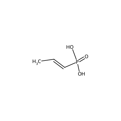 CC=CP(=O)(O)O